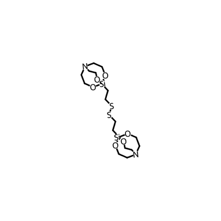 C1CN2CCO[Si](CCSSCC[Si]34OCCN(CCO3)CCO4)(O1)OCC2